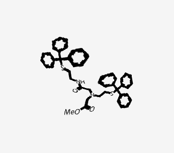 COC(=O)CN(CCSC(c1ccccc1)(c1ccccc1)c1ccccc1)CC(=O)NCCSC(c1ccccc1)(c1ccccc1)c1ccccc1